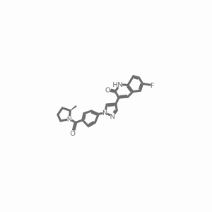 C[C@@H]1CCCN1C(=O)c1ccc(-n2cc(-c3cc4cc(F)ccc4[nH]c3=O)cn2)cc1